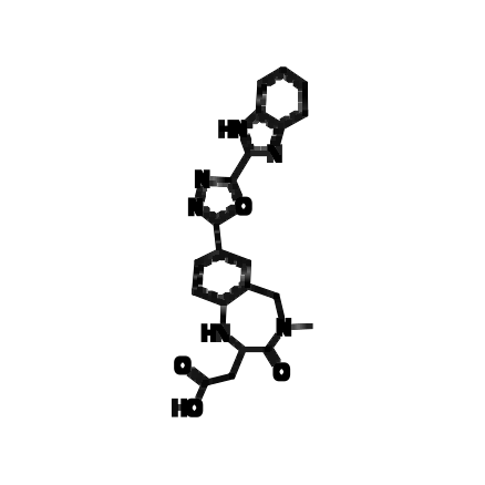 CN1Cc2cc(-c3nnc(-c4nc5ccccc5[nH]4)o3)ccc2NC(CC(=O)O)C1=O